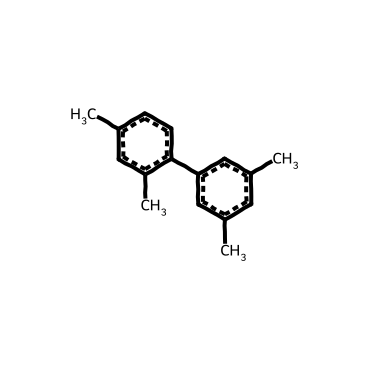 Cc1cc(C)cc(-c2ccc(C)cc2C)c1